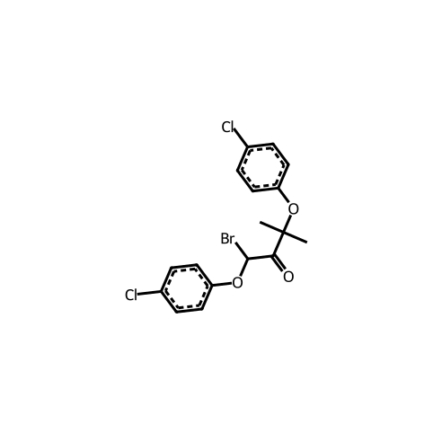 CC(C)(Oc1ccc(Cl)cc1)C(=O)C(Br)Oc1ccc(Cl)cc1